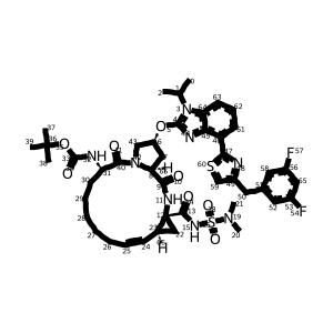 CC(C)n1c(O[C@@H]2C[C@H]3C(=O)N[C@]4(C(=O)NS(=O)(=O)N(C)C)C[C@H]4/C=C\CCCCC[C@H](NC(=O)OC(C)(C)C)C(=O)N3C2)nc2c(-c3nc(Cc4cc(F)cc(F)c4)cs3)cccc21